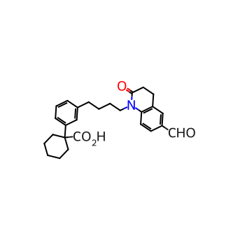 O=Cc1ccc2c(c1)CCC(=O)N2CCCCc1cccc(C2(C(=O)O)CCCCC2)c1